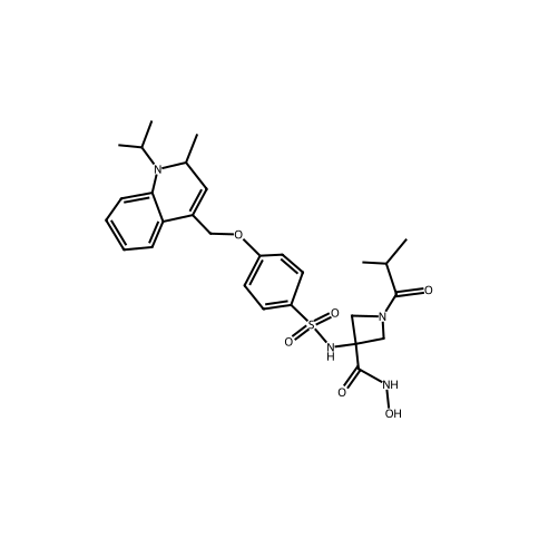 CC(C)C(=O)N1CC(NS(=O)(=O)c2ccc(OCC3=CC(C)N(C(C)C)c4ccccc43)cc2)(C(=O)NO)C1